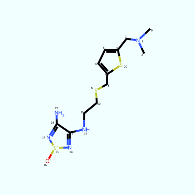 CN(C)Cc1ccc(CSCCNc2n[s+]([O-])nc2N)s1